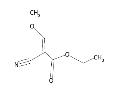 CCOC(=O)C(C#N)=COC